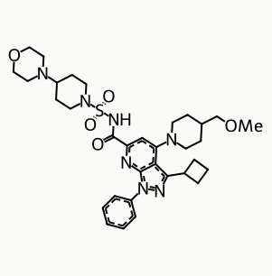 COCC1CCN(c2cc(C(=O)NS(=O)(=O)N3CCC(N4CCOCC4)CC3)nc3c2c(C2CCC2)nn3-c2ccccc2)CC1